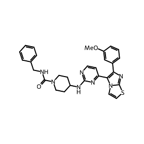 COc1cccc(-c2nc3sccn3c2-c2ccnc(NC3CCN(C(=O)NCc4ccccc4)CC3)n2)c1